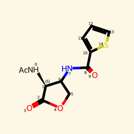 CC(=O)N[C@@H]1C(=O)OCC1NC(=O)c1cccs1